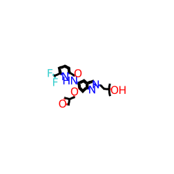 CC(C)(O)CCn1cc2cc(NC(=O)c3cccc(C(F)F)n3)c(OCC3COC3)cc2n1